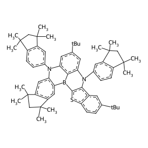 CC(C)(C)c1cc2c3c(c1)N(c1ccc4c(c1)C(C)(C)CC4(C)C)c1c(sc4ccc(C(C)(C)C)cc14)B3c1cc3c(cc1N2c1ccc2c(c1)C(C)(C)CC2(C)C)C(C)(C)CC3(C)C